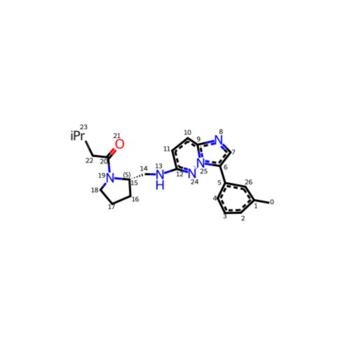 Cc1cccc(-c2cnc3ccc(NC[C@@H]4CCCN4C(=O)CC(C)C)nn23)c1